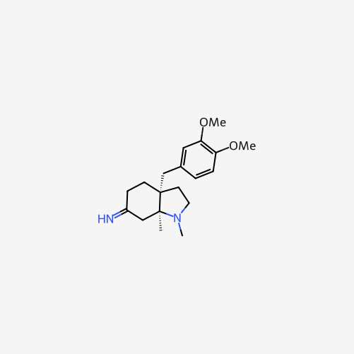 COc1ccc(C[C@@]23CCC(=N)C[C@]2(C)N(C)CC3)cc1OC